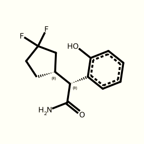 NC(=O)[C@@H](c1ccccc1O)[C@@H]1CCC(F)(F)C1